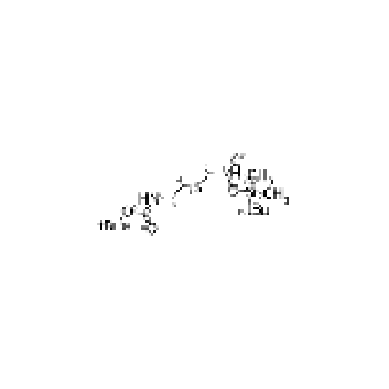 CC(CSCCNC(=O)OC(C)(C)C)O[Si](C)(C)C(C)(C)C